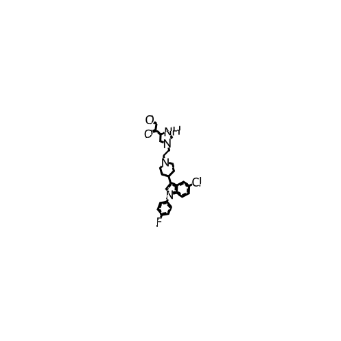 O=CC(=O)C1CN(CCN2CCC(c3cn(-c4ccc(F)cc4)c4ccc(Cl)cc34)CC2)CN1